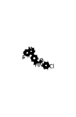 O=C(Nc1ccc(Cl)cc1)[C@@H]1CC12CCC(c1ccnc3ccc(F)cc13)CC2